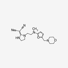 CN(CCN1CCNC1=C(C#N)C#N)c1ccc(CN2CCOCC2)o1